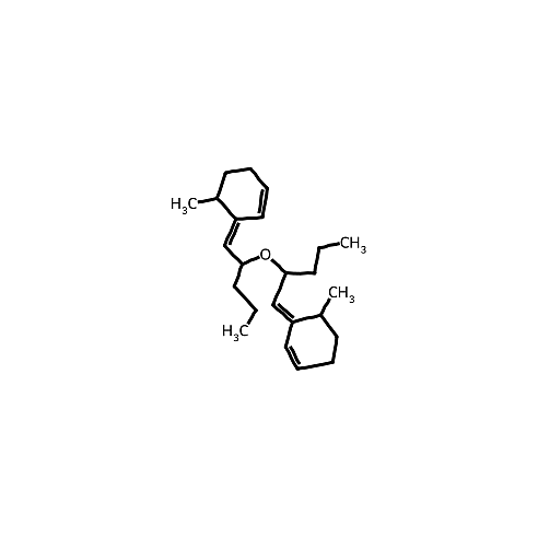 CCCC(C=C1C=CCCC1C)OC(C=C1C=CCCC1C)CCC